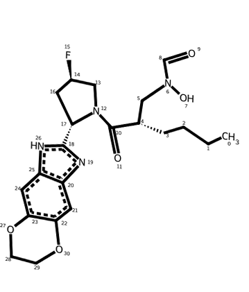 CCCC[C@@H](CN(O)C=O)C(=O)N1C[C@H](F)C[C@H]1c1nc2cc3c(cc2[nH]1)OCCO3